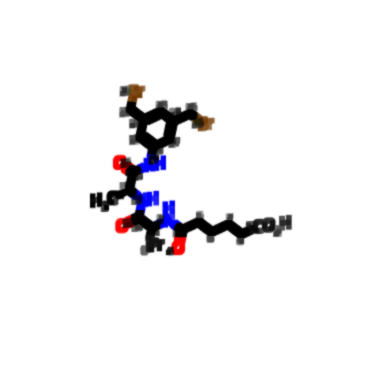 CC(C)C(NC(=O)CCCCC(=O)O)C(=O)N[C@@H](C)C(=O)Nc1cc(CBr)cc(CBr)c1